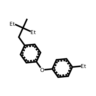 CCc1ccc(Oc2ccc(CC(C)(CC)CC)cc2)cc1